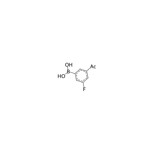 CC(=O)c1cc(F)cc(B(O)O)c1